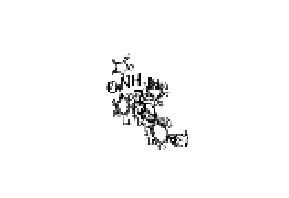 O=C(NC1CCCC1)c1cccc(N(Cc2ccc(Cl)cc2)S(=O)(=O)c2cccnc2)c1